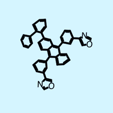 c1ccc(-c2ccccc2-c2ccc3c(-c4cccc(-c5cocn5)c4)c4ccccc4c(-c4cccc(-c5cocn5)c4)c3c2)cc1